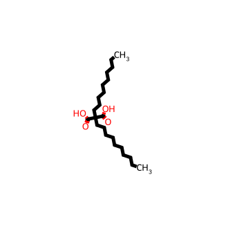 CCCCCCCCCCC(CCCCCCCCCC)(C(=O)O)C(=O)O